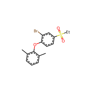 CCS(=O)(=O)c1ccc(Oc2c(C)cccc2C)c(Br)c1